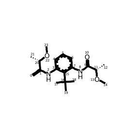 C=C(Nc1cccc(NC(=O)[C@H](C)OC)c1C(C)(C)C)[C@H](C)OC